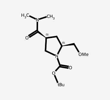 COC[C@@H]1C[C@H](C(=O)N(C)C)CN1C(=O)OC(C)(C)C